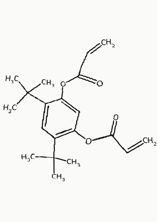 C=CC(=O)Oc1cc(OC(=O)C=C)c(C(C)(C)C)cc1C(C)(C)C